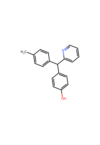 Cc1ccc(C(c2ccc(O)cc2)c2ccccn2)cc1